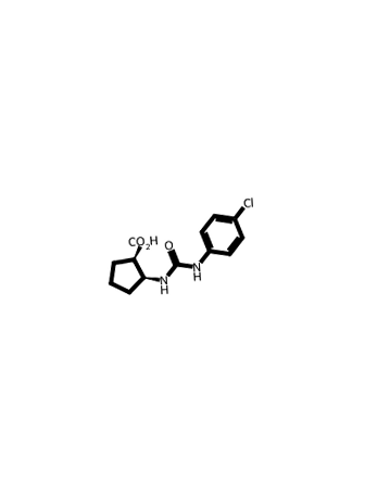 O=C(Nc1ccc(Cl)cc1)N[C@H]1CCC[C@H]1C(=O)O